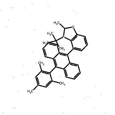 Cc1cc(C)c(-c2c3ccccc3c(-c3cccc4c3P(C(C)(C)C)C(C)O4)c3ccccc23)c(C)c1